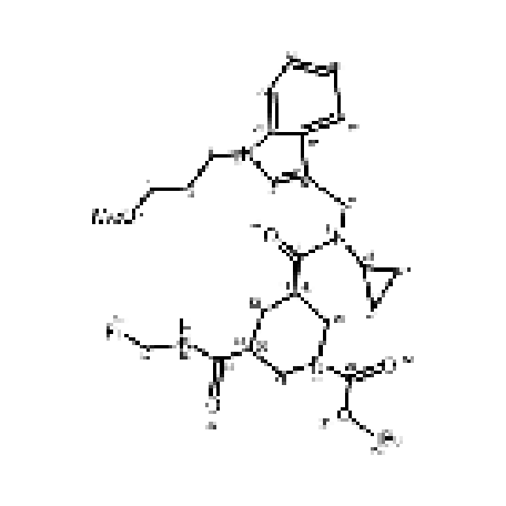 COCCCn1cc(CN(C(=O)[C@@H]2C[C@H](C(=O)NCC(C)C)CN(C(=O)OC(C)(C)C)C2)C2CC2)c2ccccc21